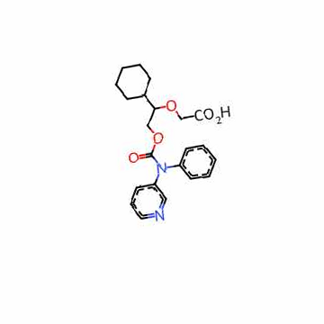 O=C(O)COC(COC(=O)N(c1ccccc1)c1cccnc1)C1CCCCC1